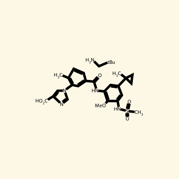 CC(C)(C)CN.COc1c(NC(=O)c2ccc(C)c(-n3cnc(C(=O)O)c3)c2)cc(C2(C)CC2)cc1NS(C)(=O)=O